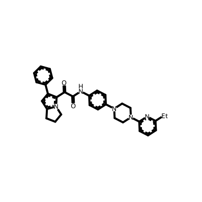 CCc1cccc(N2CCN(c3ccc(NC(=O)C(=O)c4c(-c5ccccc5)cc5n4CCC5)cc3)CC2)n1